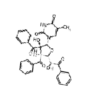 Cc1cn([C@@H]2O[C@H](C(O)C(=O)c3ccccc3)[C@@](O)(C(=O)c3ccccc3)[C@]2(O)C(=O)c2ccccc2)c(=O)[nH]c1=O